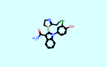 CC(C)CC1=NCC[SH]1c1c(C(N)=O)c2ccccc2n1-c1ccc(O)c(Br)c1